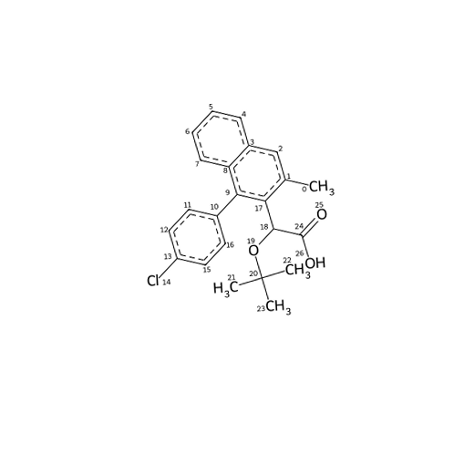 Cc1cc2ccccc2c(-c2ccc(Cl)cc2)c1C(OC(C)(C)C)C(=O)O